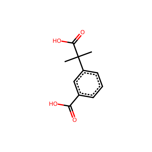 CC(C)(C(=O)O)c1cccc(C(=O)O)c1